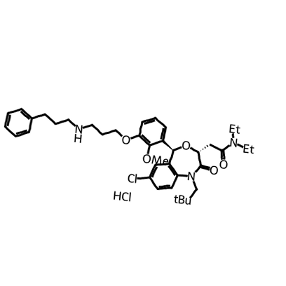 CCN(CC)C(=O)C[C@H]1O[C@H](c2cccc(OCCCNCCCc3ccccc3)c2OC)c2cc(Cl)ccc2N(CC(C)(C)C)C1=O.Cl